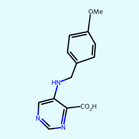 COc1ccc(CNc2cncnc2C(=O)O)cc1